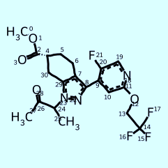 COC(=O)[C@@H]1CCc2c(-c3cc(OCC(F)(F)F)ncc3F)nn(C(C)C(C)=O)c2C1